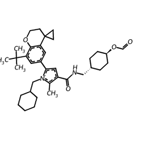 Cc1c(C(=O)NC[C@H]2CC[C@H](OC=O)CC2)cc(-c2cc(C(C)(C)C)c3c(c2)C2(CCO3)CC2)n1CC1CCCCC1